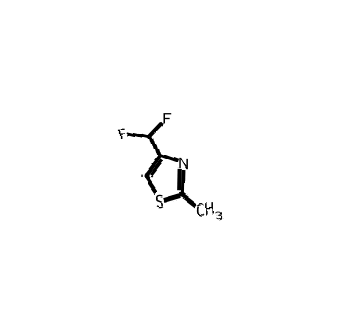 Cc1nc(C(F)F)[c]s1